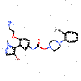 COc1ccccc1N1CCN(OC(=O)Nc2ccc(OCCN)c(-c3c(Br)cnn3C)c2)CC1